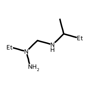 CCC(C)NCN(N)CC